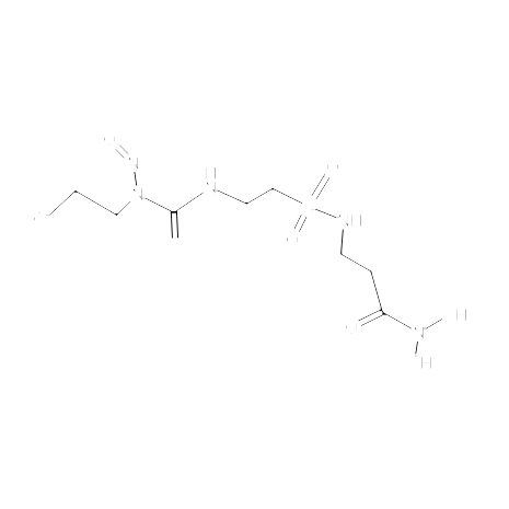 CN(C)C(=O)CCNS(=O)(=O)CCNC(=O)N(CCCl)N=O